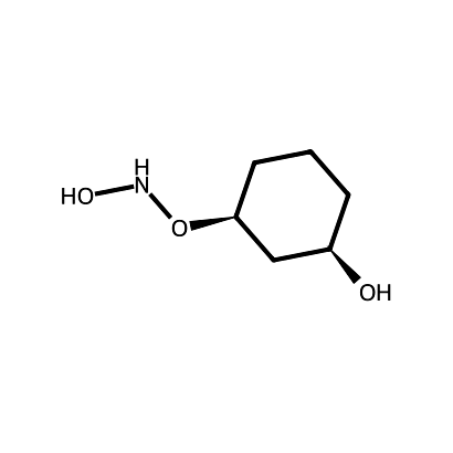 ONO[C@H]1CCC[C@@H](O)C1